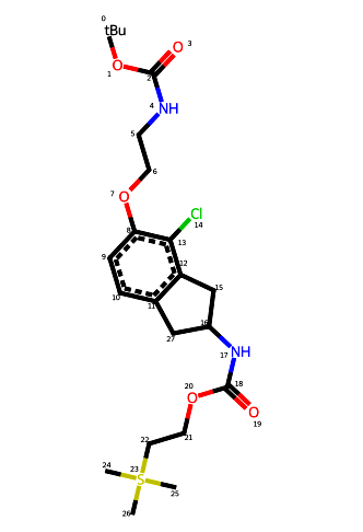 CC(C)(C)OC(=O)NCCOc1ccc2c(c1Cl)CC(NC(=O)OCCS(C)(C)C)C2